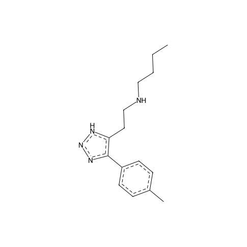 CCCCNCCc1[nH]nnc1-c1ccc(C)cc1